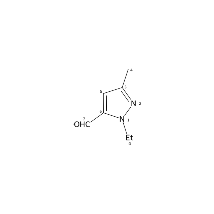 CCn1nc(C)cc1[C]=O